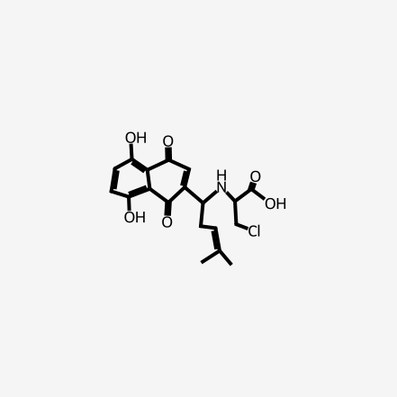 CC(C)=CCC(NC(CCl)C(=O)O)C1=CC(=O)c2c(O)ccc(O)c2C1=O